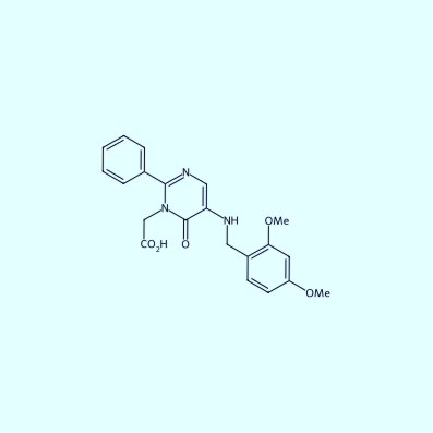 COc1ccc(CNc2cnc(-c3ccccc3)n(CC(=O)O)c2=O)c(OC)c1